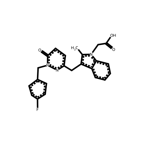 Cc1c(Cc2ccc(=O)n(Cc3ccc(F)cc3)n2)c2ccccc2n1CC(=O)O